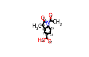 CC(=O)N1C(=O)C(C)c2cc(C(=O)O)ccc21